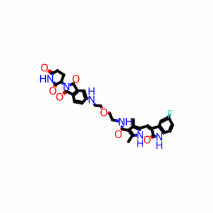 Cc1[nH]c(/C=C2\C(=O)Nc3ccc(F)cc32)c(C)c1C(=O)NCCOCCNc1ccc2c(c1)C(=O)N(C1CCC(=O)NC1=O)C2=O